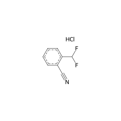 Cl.N#Cc1ccccc1C(F)F